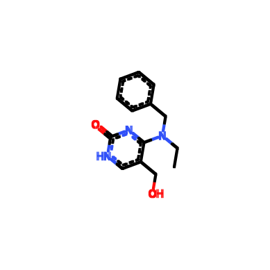 CCN(Cc1ccccc1)c1nc(=O)[nH]cc1CO